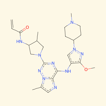 C=CC(=O)NC1CN(c2nc(Nc3cn(C4CCN(C)CC4)nc3OC)c3ncc(C)n3n2)CC1C